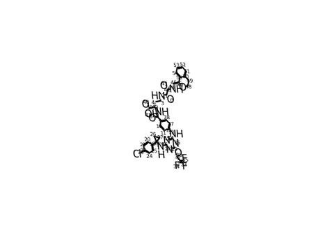 O=C(NCC[C@H](NC(=O)c1ccc(Nc2nc(NC3(c4ccc(Cl)cc4)CC3)nc(OCC(F)(F)F)n2)cc1)C(=O)O)C(=O)NCC1OCCc2ccccc21